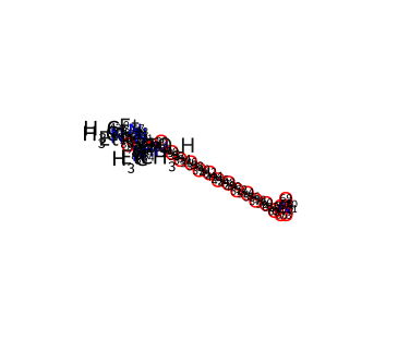 CCC1=CC(C)(C)N(CC)c2cc3c(cc21)C(c1nccn1CCCCCC(=O)NCCOCCOCCOCCOCCOCCOCCOCCOCCOCCOCCOCCOC(=O)ON1C(=O)CCC1=O)=c1cc2c(cc1O3)=[N+](CC)C(C)(C)C=C2CS(=O)(=O)O